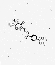 CC(C)c1ccc(C(=O)OCCOC(=O)C(C)C(C)C)cc1